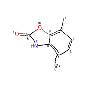 Cc1ccc(C(C)C)c2[nH]c(=O)oc12